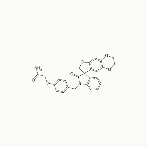 NC(=O)COc1ccc(CN2C(=O)C3(COc4cc5c(cc43)OCCO5)c3ccccc32)cc1